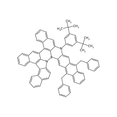 CC(C)(C)c1cc(N2c3cc4c(Cc5ccccc5)c5ccccc5c(Cc5ccccc5)c4cc3B3c4c2cc2ccccc2c4-c2cc4ccccc4c4c5c6ccccc6ccc5n3c24)cc(C(C)(C)C)c1